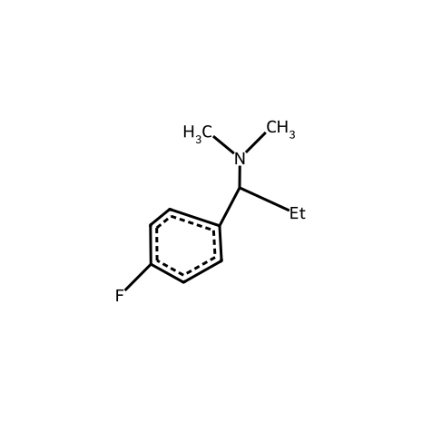 CCC(c1ccc(F)cc1)N(C)C